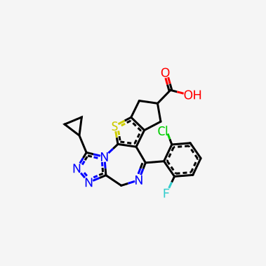 O=C(O)C1Cc2sc3c(c2C1)C(c1c(F)cccc1Cl)=NCc1nnc(C2CC2)n1-3